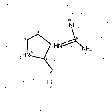 CC1CCCN1.I.N=C(N)N